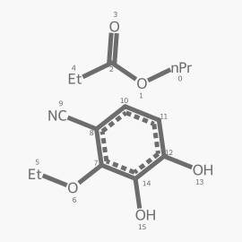 CCCOC(=O)CC.CCOc1c(C#N)ccc(O)c1O